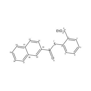 CCOC(=O)c1ccccc1SC(=O)c1ccc2ccccc2c1